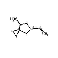 C=CN1CC(N)C2(CC2)C1